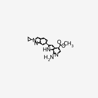 COC(=O)c1cnc(N)c2[nH]c(-c3ccc4cn(C5CC5)nc4c3)cc12